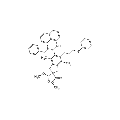 COC(=O)C1(C(=O)OC)Cc2c(C)c(CCCSc3ccccc3)c(B3Nc4cccc5cccc(c45)N3Cc3ccccc3)c(C)c2C1